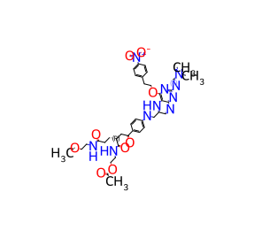 COCCNC(=O)CC[C@H](CC(=O)c1ccc(NCc2cnc3nc(/N=C/N(C)C)nc(OCCc4ccc([N+](=O)[O-])cc4)c3n2)cc1)C(=O)NCCOC(C)=O